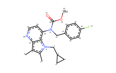 Cc1c(C)n(CC2CC2)c2c(N(Cc3ccc(F)cc3)C(=O)OC(C)(C)C)ccnc12